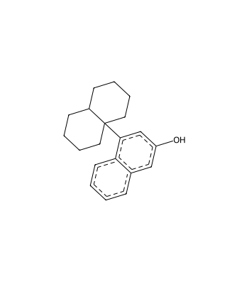 Oc1cc(C23CCCCC2CCCC3)c2ccccc2c1